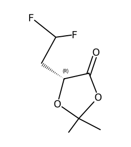 CC1(C)OC(=O)[C@@H](CC(F)F)O1